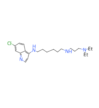 CCN(CC)CCCNCCCCCCNc1ccnc2cc(Cl)ccc12